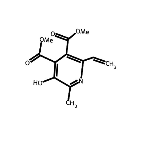 C=Cc1nc(C)c(O)c(C(=O)OC)c1C(=O)OC